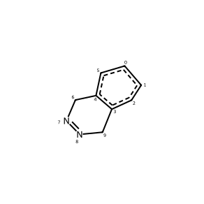 c1ccc2c(c1)CN=NC2